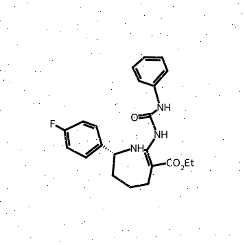 CCOC(=O)C1=C(NC(=O)Nc2ccccc2)N[C@@H](c2ccc(F)cc2)CCC1